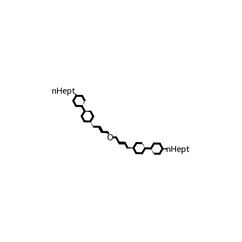 CCCCCCC[C@H]1CC[C@H]([C@H]2CC[C@H](CC=CCOCC=CC[C@H]3CC[C@H]([C@H]4CC[C@H](CCCCCCC)CC4)CC3)CC2)CC1